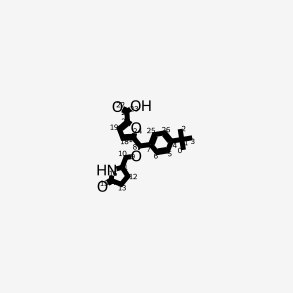 CC(C)(C)c1ccc([C@H](OCC2CCC(=O)N2)c2ccc(C(=O)O)o2)cc1